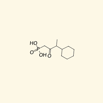 CC(C(=O)CP(=O)(O)O)C1CCCCC1